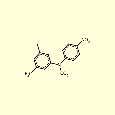 Cc1cc(N(C(=O)O)c2ccc([N+](=O)[O-])cc2)cc(C(F)(F)F)c1